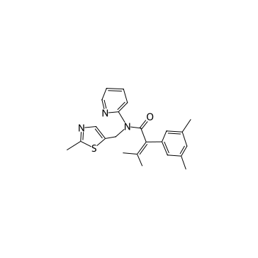 CC(C)=C(C(=O)N(Cc1cnc(C)s1)c1ccccn1)c1cc(C)cc(C)c1